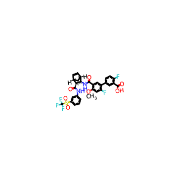 COc1cc(F)c(-c2ccc(F)c(C(=O)O)c2)cc1C(=O)N[C@H]1[C@@H](C(=O)Nc2cccc(S(=O)(=O)C(F)(F)F)c2)[C@@H]2C=C[C@H]1C2